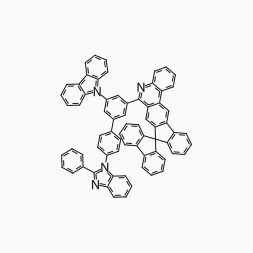 c1ccc(-c2nc3ccccc3n2-c2ccc(-c3cc(-c4nc5ccccc5c5cc6c(cc45)C4(c5ccccc5-c5ccccc54)c4ccccc4-6)cc(-n4c5ccccc5c5ccccc54)c3)cc2)cc1